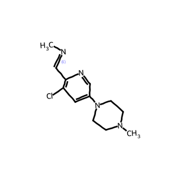 C/N=C/c1ncc(N2CCN(C)CC2)cc1Cl